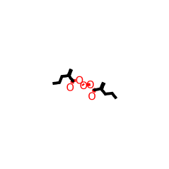 C=C(CCC)C(=O)OOOC(=O)C(=C)CCC